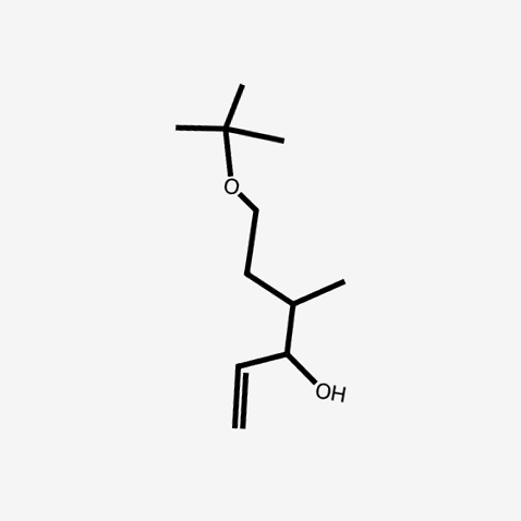 C=CC(O)C(C)CCOC(C)(C)C